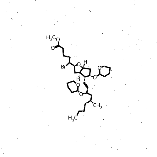 CCCC[C@H](C)CC(/C=C/[C@@H]1[C@H]2CC(C(Br)CCCC(=O)OC)O[C@@H]2C[C@H]1OC1CCCCO1)OC1CCCCO1